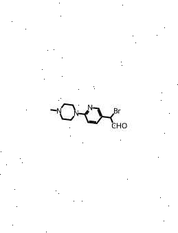 CN1CCN(c2ccc(C(Br)C=O)cn2)CC1